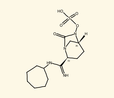 N=C(NC1CCCCCC1)[C@@H]1CC[C@@H]2CN1C(=O)N2OS(=O)(=O)O